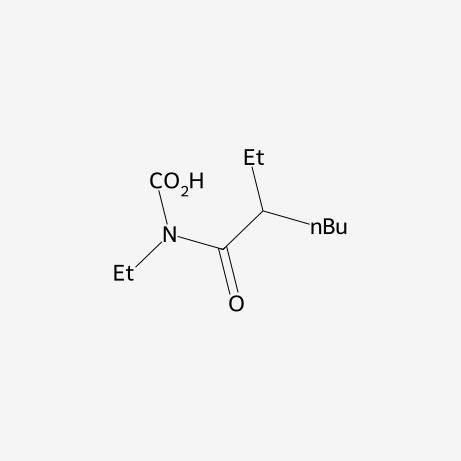 CCCCC(CC)C(=O)N(CC)C(=O)O